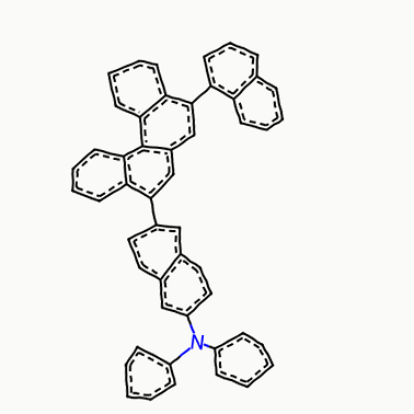 c1ccc(N(c2ccccc2)c2ccc3cc(-c4cc5cc(-c6cccc7ccccc67)c6ccccc6c5c5ccccc45)ccc3c2)cc1